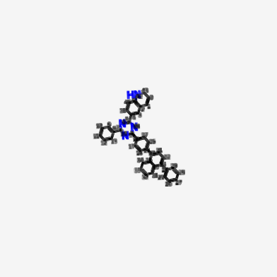 C1=Cc2cc(-c3nc(-c4ccccc4)nc(-c4ccc(-c5ccc(-c6ccccc6)c6ccccc56)cc4)n3)ccc2NC1